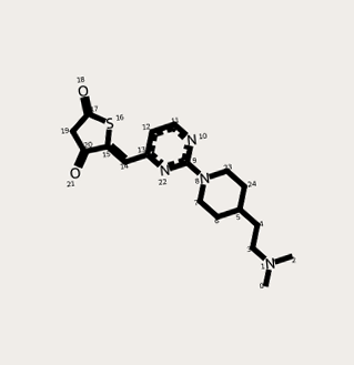 CN(C)CCC1CCN(c2nccc(/C=C3\SC(=O)CC3=O)n2)CC1